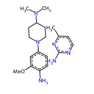 COc1cc(N2CCC(N(C)C)CC2)ccc1N.Cc1ccnc(N)n1